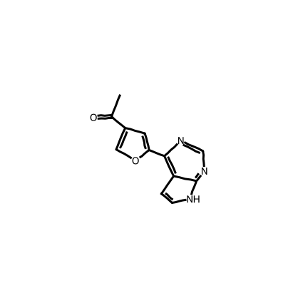 CC(=O)c1coc(-c2ncnc3[nH]ccc23)c1